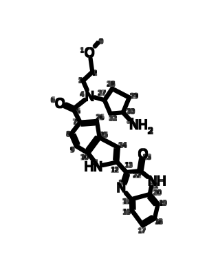 COCCN(C(=O)c1ccc2[nH]c(-c3nc4ccccc4[nH]c3=O)cc2c1)C1CCC(N)C1